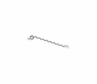 CCCCCCCCCCCCCCCCCc1cc[nH]c1